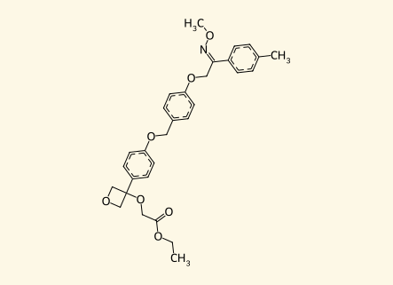 CCOC(=O)COC1(c2ccc(OCc3ccc(OCC(=NOC)c4ccc(C)cc4)cc3)cc2)COC1